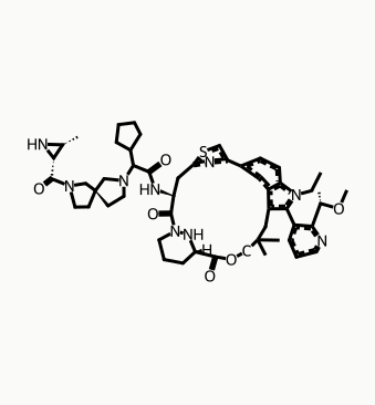 CCn1c(-c2cccnc2[C@H](C)OC)c2c3cc(ccc31)-c1csc(n1)C[C@H](NC(=O)C(C1CCCC1)N1CC[C@]3(CCN(C(=O)[C@@H]4N[C@@H]4C)C3)C1)C(=O)N1CCC[C@H](N1)C(=O)OCC(C)(C)C2